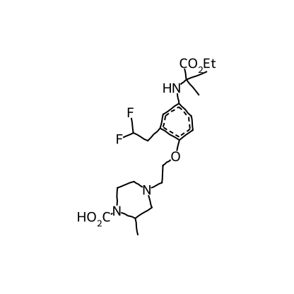 CCOC(=O)C(C)(C)Nc1ccc(OCCN2CCN(C(=O)O)C(C)C2)c(CC(F)F)c1